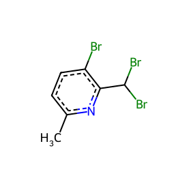 Cc1ccc(Br)c(C(Br)Br)n1